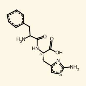 Nc1nc(C[C@H](NC(=O)C(N)Cc2ccccc2)C(=O)O)cs1